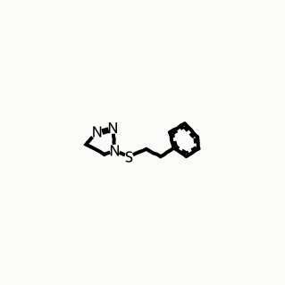 c1ccc(CCSN2CCN=N2)cc1